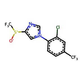 [O-][S+](c1cn(-c2ccc(C(F)(F)F)cc2Cl)cn1)C(F)(F)F